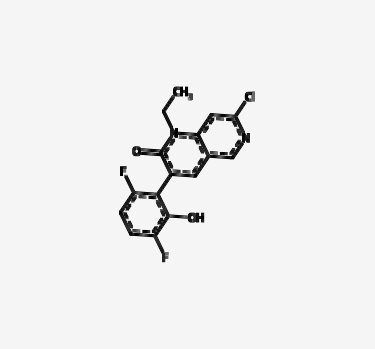 CCn1c(=O)c(-c2c(F)ccc(F)c2O)cc2cnc(Cl)cc21